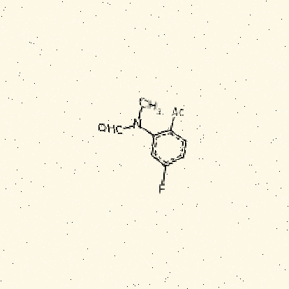 CC(=O)c1ccc(F)cc1N(C)C=O